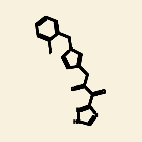 O=C(Cc1ccn(Cc2ccccc2F)c1)C(=O)c1nc[nH]n1